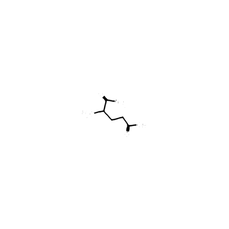 [CH2]C(CCC(=O)O)C(N)=O